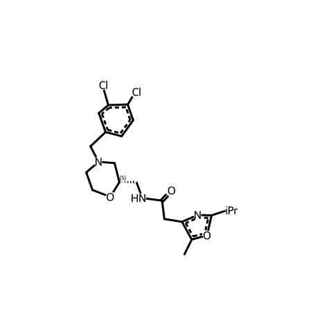 Cc1oc(C(C)C)nc1CC(=O)NC[C@H]1CN(Cc2ccc(Cl)c(Cl)c2)CCO1